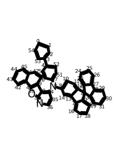 c1ccc(-c2ccc(N(c3ccc4c(c3)-c3ccccc3C43c4ccccc4-c4ccccc43)c3ccnc4oc5c6ccccc6ccc5c34)cc2)cc1